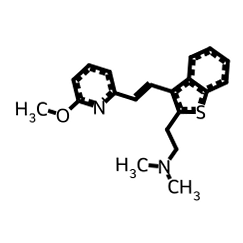 COc1cccc(C=Cc2c(CCN(C)C)sc3ccccc23)n1